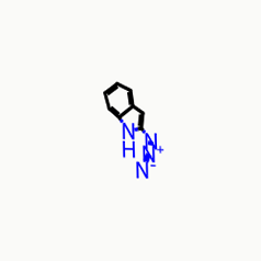 [N-]=[N+]=Nc1cc2ccccc2[nH]1